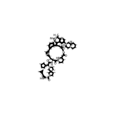 CCn1c(-c2cc(N3CCN4CCCC[C@@H]4C3)cnc2[C@H](C)OC)c2c3cc(ccc31)-c1csc(n1)C[C@H](NC(=O)C(C1CCCC1)N1CC[C@]3(CCN(C(=O)[C@@H]4NC4C4CC4)C3)C1)C(=O)N1CCC[C@H](N1)C(=O)OCC(C)(C)C2